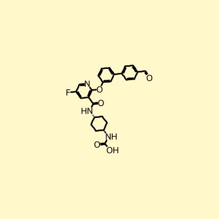 O=Cc1ccc(-c2cccc(Oc3ncc(F)cc3C(=O)N[C@H]3CC[C@H](NC(=O)O)CC3)c2)cc1